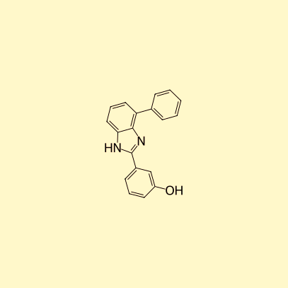 Oc1cccc(-c2nc3c(-c4ccccc4)cccc3[nH]2)c1